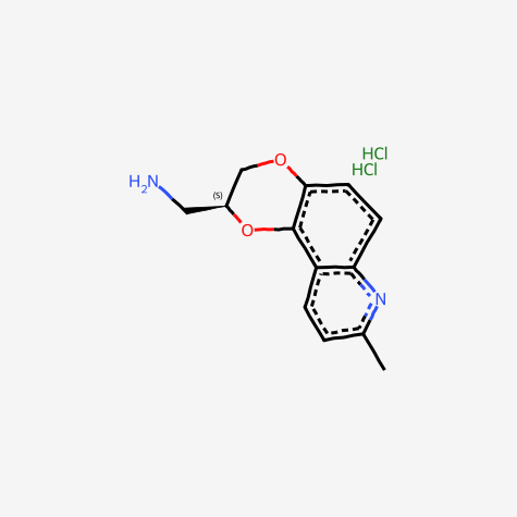 Cc1ccc2c3c(ccc2n1)OC[C@H](CN)O3.Cl.Cl